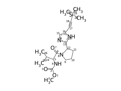 COC(=O)NC(C(=O)N1CCCC1c1ncc(C#C[Si](C)(C)C)[nH]1)C(C)C